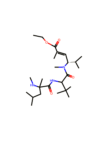 CCOC(=O)/C(C)=C/[C@H](C(C)C)N(C)C(=O)C(NC(=O)C(C)(CC(C)C)NC)C(C)(C)C